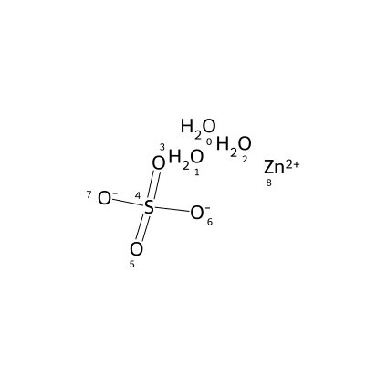 O.O.O.O=S(=O)([O-])[O-].[Zn+2]